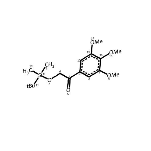 COc1cc(C(=O)CO[Si](C)(C)C(C)(C)C)cc(OC)c1OC